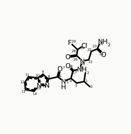 CC(C)CC(NC(=O)c1cc2ccccn2n1)C(=O)NN(CCC(N)=O)C(=O)C(F)Cl